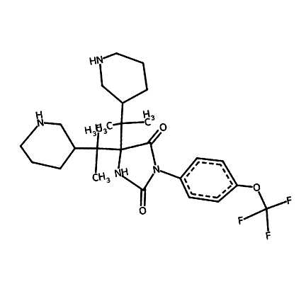 CC(C)(C1CCCNC1)C1(C(C)(C)C2CCCNC2)NC(=O)N(c2ccc(OC(F)(F)F)cc2)C1=O